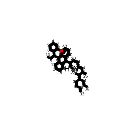 C#Cc1ccccc1/C(=C\C)c1c2ccccc2c(C(/C=C\C(N)=C\C(=C)/C(C)=C(/C=C\C=C)CCC)=C/C)c2ccccc12